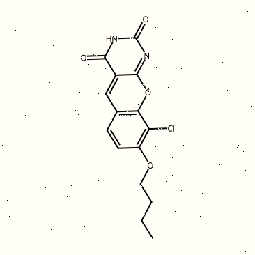 CCCCOc1ccc2cc3c(=O)[nH]c(=O)nc-3oc2c1Cl